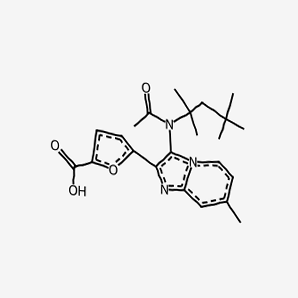 CC(=O)N(c1c(-c2ccc(C(=O)O)o2)nc2cc(C)ccn12)C(C)(C)CC(C)(C)C